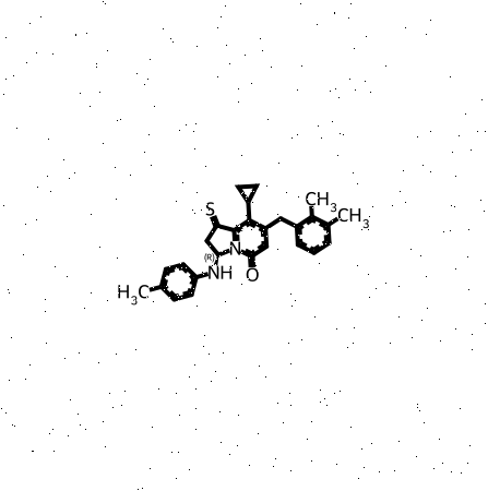 Cc1ccc(N[C@H]2CC(=S)c3c(C4CC4)c(Cc4cccc(C)c4C)cc(=O)n32)cc1